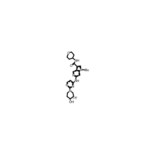 CCC(C)n1cc(C(=O)NC2CCOCC2)c2cnc(Nc3ccnc(N4CC[C@@H](O)[C@@H](F)C4)n3)cc21